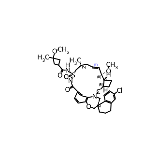 CO[C@H]1/C=C/C[C@H](C)CS(=O)(NC(=O)C2CC(C)(OC)C2)=NC(=O)c2ccc3c(c2)N(C[C@@H]2CC[C@H]21)C[C@@]1(CCCc2cc(Cl)ccc21)CO3